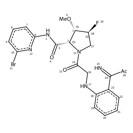 CO[C@H]1[C@@H](C(=O)Nc2cccc(Br)n2)N(C(=O)CNc2ccccc2C(=N)C(C)=O)C[C@@H]1F